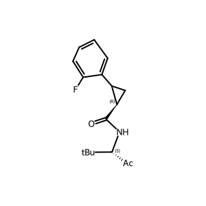 CC(=O)[C@@H](NC(=O)[C@@H]1CC1c1ccccc1F)C(C)(C)C